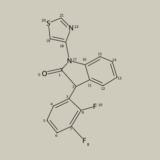 O=C1C(c2cccc(F)c2F)c2ccccc2N1c1cscn1